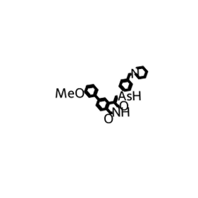 COc1cccc(-c2ccc3c(c2)C(=C[AsH]c2ccc(CN4CCCCC4)cc2)C(=O)NC3=O)c1